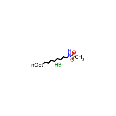 Br.CCCCCCCCCCCCCCCCNS(C)(=O)=O